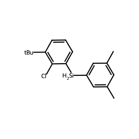 Cc1cc(C)cc([SiH2]c2cccc(C(C)(C)C)c2Cl)c1